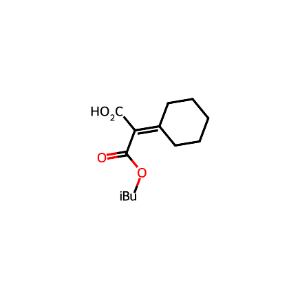 CCC(C)OC(=O)C(C(=O)O)=C1CCCCC1